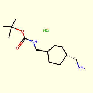 CC(C)(C)OC(=O)NC[C@H]1CC[C@H](CN)CC1.Cl